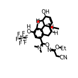 CCOC(CC#N)=NOC(c1cc(O)c2c3c1C[C@@H]1[C@@H]4C=C[C@H](O)[C@H](O2)[C@]34CCN1C)=[N+](C)C.F[P-](F)(F)(F)(F)F